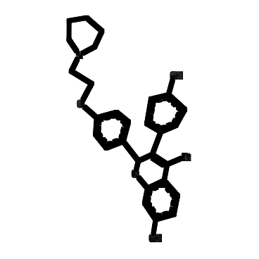 CCC1=C(c2ccc(O)cc2)C(c2ccc(OCCN3CCCCC3)cc2)Oc2cc(O)ccc21